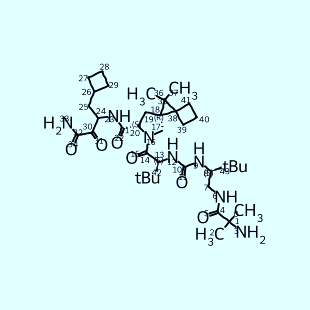 CC(C)(N)C(=O)NC[C@@H](NC(=O)N[C@H](C(=O)N1C[C@]2(C[C@H]1C(=O)NC(CC1CCC1)C(=O)C(N)=O)C(C)(C)C21CCC1)C(C)(C)C)C(C)(C)C